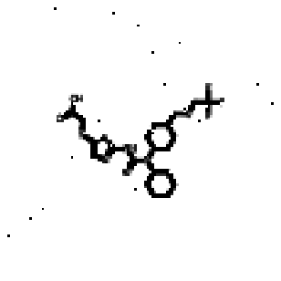 O=C(O)CSc1cnc(NC(=O)N(C2CCCCC2)C2CCC(COCC(F)(F)F)CC2)s1